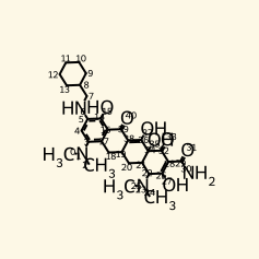 CN(C)c1cc(NCC2CCCCC2)c(O)c2c1CC1CC3C(N(C)C)C(O)=C(C(N)=O)C(=O)C3(O)C(O)=C1C2=O